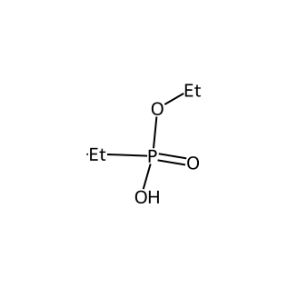 C[CH]P(=O)(O)OCC